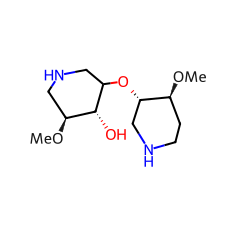 CO[C@H]1CCNC[C@@H]1OC1CNC[C@H](OC)[C@H]1O